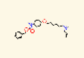 C=CCN(C)CCCCCCOC1CCC(N(C)C(=O)OCc2ccccc2)CC1